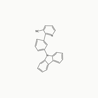 N#Cc1cccnc1-c1cccc(-n2c3ccccc3c3ccccc32)c1